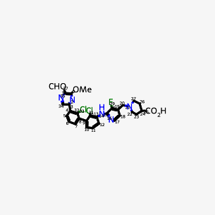 COc1nc(-c2cccc(-c3cccc(Nc4nccc(CN5CCC(C(=O)O)CC5)c4F)c3Cl)c2Cl)cnc1C=O